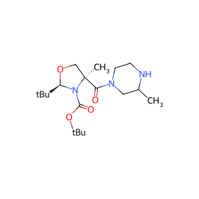 CC1CN(C(=O)[C@]2(C)CO[C@H](C(C)(C)C)N2C(=O)OC(C)(C)C)CCN1